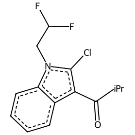 CC(C)C(=O)c1c(Cl)n(CC(F)F)c2ccccc12